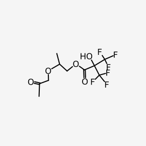 CC(=O)COC(C)COC(=O)C(O)(C(F)(F)F)C(F)(F)F